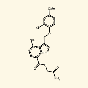 COc1ccc(OCc2csc3c(C(=O)OCC(N)=O)cnc(N)c23)c(Cl)c1